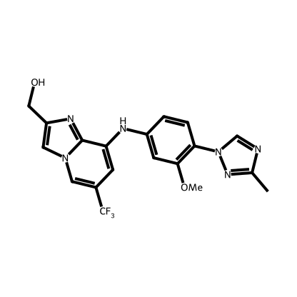 COc1cc(Nc2cc(C(F)(F)F)cn3cc(CO)nc23)ccc1-n1cnc(C)n1